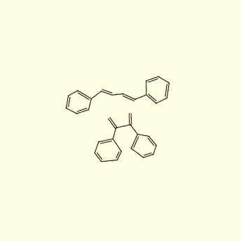 C(/C=C/c1ccccc1)=C\c1ccccc1.C=C(C(=C)c1ccccc1)c1ccccc1